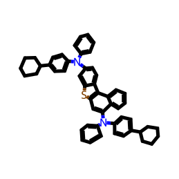 c1ccc(N(c2ccc(C3CCCCC3)cc2)c2ccc3c(c2)sc2cc(N(c4ccccc4)c4ccc(C5CCCCC5)cc4)c4ccccc4c23)cc1